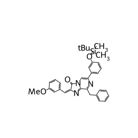 COc1cccc(C=C2N=C3C(Cc4ccccc4)=NC(c4cccc(O[Si](C)(C)C(C)(C)C)c4)=CN3C2=O)c1